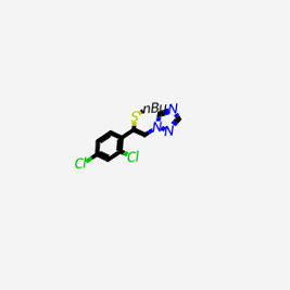 CCCCSC(Cn1cncn1)c1ccc(Cl)cc1Cl